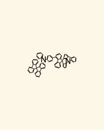 c1ccc(N(c2ccc(-c3cccc4c3-c3ccccc3C43c4ccccc4-n4c5ccccc5c5cccc3c54)cc2)c2ccc3c(c2)C2(c4ccccc4-c4ccccc42)c2ccccc2-3)cc1